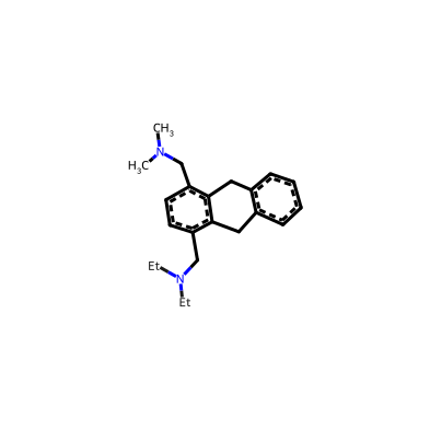 CCN(CC)Cc1ccc(CN(C)C)c2c1Cc1ccccc1C2